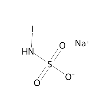 O=S(=O)([O-])NI.[Na+]